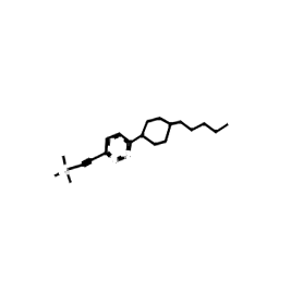 CCCCCC1CCC(c2ccc(C#C[Si](C)(C)C)nn2)CC1